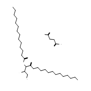 CCCCCCCCCCCCCC(=O)OC(C(=O)CCCCCCCCCCCCC)C(O)CO.O=C(O)CCC(=O)O